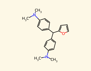 CN(C)c1ccc(C(c2ccc(N(C)C)cc2)c2ccco2)cc1